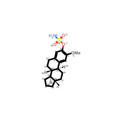 COc1cc2c(cc1OS(N)(=O)=O)CC[C@@H]1[C@@H]2CC[C@]2(C)CCC[C@@H]12